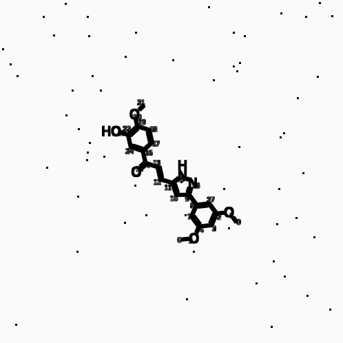 COc1cc(OC)cc(-c2cc(C=CC(=O)c3ccc(OC)c(O)c3)[nH]n2)c1